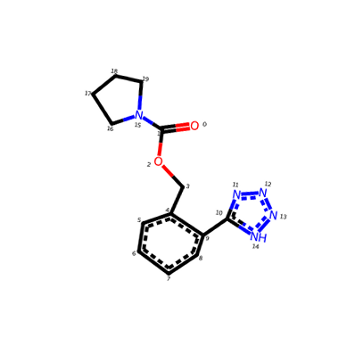 O=C(OCc1ccccc1-c1nnn[nH]1)N1CCCC1